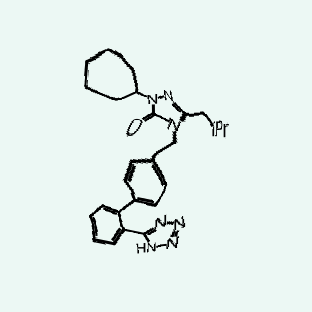 CC(C)Cc1nn(C2CCCCC2)c(=O)n1Cc1ccc(-c2ccccc2-c2nnn[nH]2)cc1